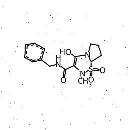 CN1C(C(=O)NCc2ccccc2)=C(O)N2CCCC2S1(=O)=O